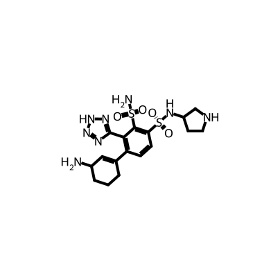 NC1C=C(c2ccc(S(=O)(=O)NC3CCNC3)c(S(N)(=O)=O)c2-c2nn[nH]n2)CCC1